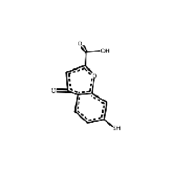 O=C(O)c1cc(=O)c2ccc(S)cc2o1